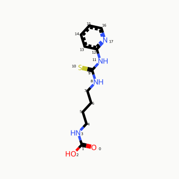 O=C(O)NCCCCNC(=S)Nc1ccccn1